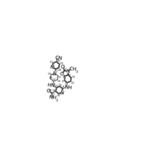 Cn1c(=O)oc2cc(Nc3cc(NC4CCN(c5ccc(C#N)cn5)CC4)c(C(N)=O)cn3)ccc21